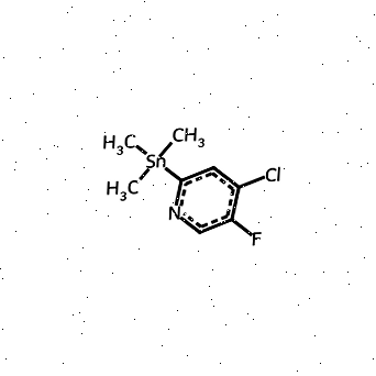 [CH3][Sn]([CH3])([CH3])[c]1cc(Cl)c(F)cn1